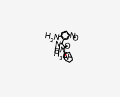 CN1C2CCC1CC(NC(=O)C(=N)c1cc(N=O)ccc1N)C2